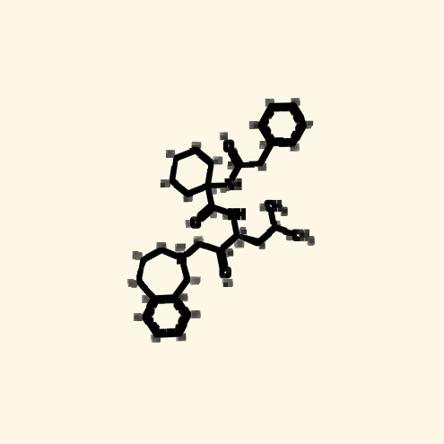 CC(C)C[C@H](NC(=O)C1(NC(=O)Cc2ccccc2)CCCCC1)C(=O)CN1CCCc2ccccc2C1